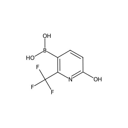 OB(O)c1ccc(O)nc1C(F)(F)F